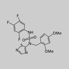 COc1ccc(CN(c2ncns2)S(=O)(=O)Nc2cc(F)c(F)cc2F)c(OC)c1